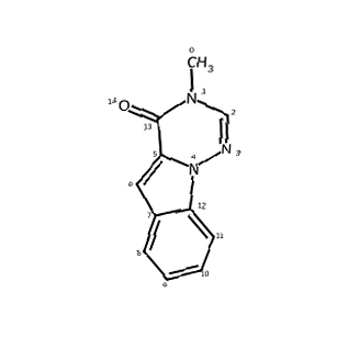 Cn1cnn2c(cc3ccccc32)c1=O